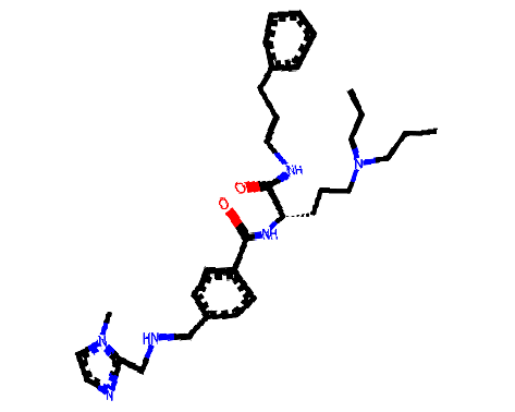 CCCN(CCC)CCC[C@H](NC(=O)c1ccc(CNCc2nccn2C)cc1)C(=O)NCCCc1ccccc1